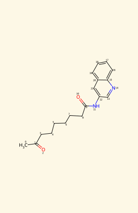 CC(=O)CCCCCCC(=O)Nc1cnc2ccccc2c1